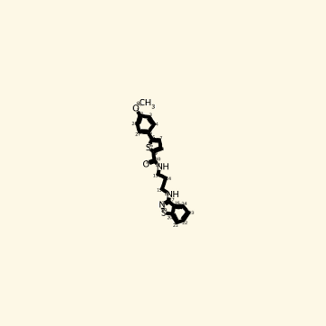 COc1ccc(-c2ccc(C(=O)NCCCNc3nsc4ccccc34)s2)cc1